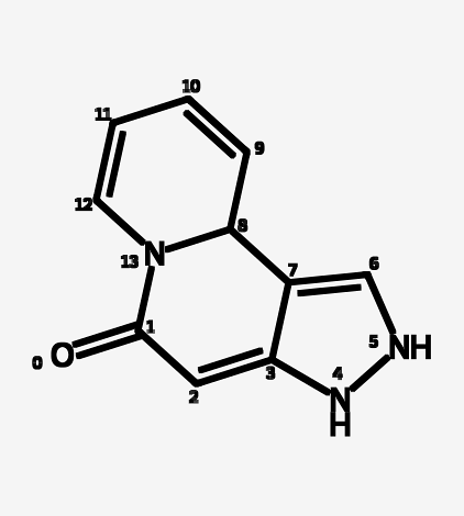 O=C1C=C2NNC=C2C2C=CC=CN12